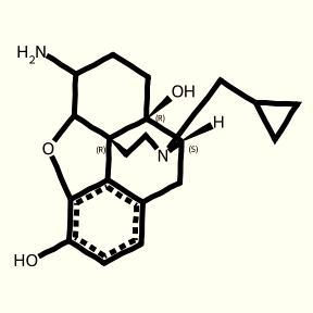 NC1CC[C@]2(O)[C@@H]3Cc4ccc(O)c5c4[C@]2(CCN3CC2CC2)C1O5